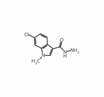 Cn1cc(C(=O)NN)c2ccc(Cl)cc21